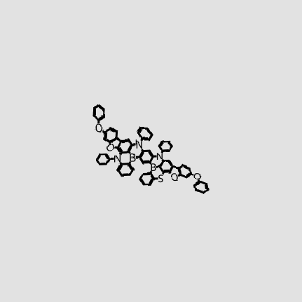 c1ccc(Oc2ccc3c(c2)oc2c4c5c(cc23)N(c2ccccc2)c2cc3c(cc2B5c2ccccc2S4)B2c4ccccc4N(c4ccccc4)c4c2c(cc2c4oc4cc(Oc5ccccc5)ccc42)N3c2ccccc2)cc1